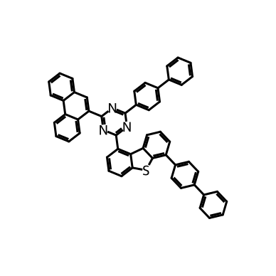 c1ccc(-c2ccc(-c3nc(-c4cc5ccccc5c5ccccc45)nc(-c4cccc5sc6c(-c7ccc(-c8ccccc8)cc7)cccc6c45)n3)cc2)cc1